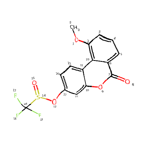 COc1cccc2c(=O)oc3cc(OS(=O)C(F)(F)F)ccc3c12